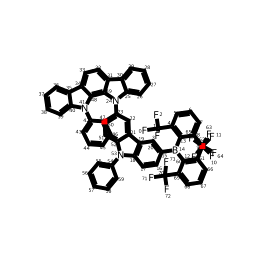 FC(F)(F)c1cccc(C(F)(F)F)c1B(c1ccc2c(c1)c1cc(-n3c4ccccc4c4ccc5c6ccccc6n(-c6ccccc6)c5c43)ccc1n2-c1ccccc1)c1c(C(F)(F)F)cccc1C(F)(F)F